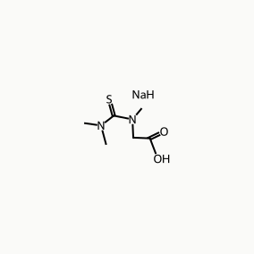 CN(C)C(=S)N(C)CC(=O)O.[NaH]